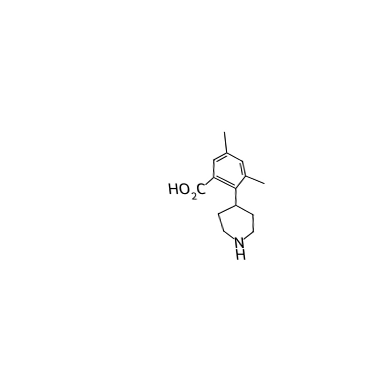 Cc1cc(C)c(C2CCNCC2)c(C(=O)O)c1